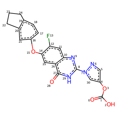 O=C(O)Oc1cnn(-c2nc3cc(F)c(Oc4ccc5c(c4)CCC5)cc3c(=O)[nH]2)c1